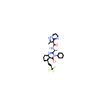 Cc1nn2cccnc2c1C(=O)N[C@@H](C)c1nc2cccc(C#CC(F)(F)F)c2c(=O)n1-c1ccccc1